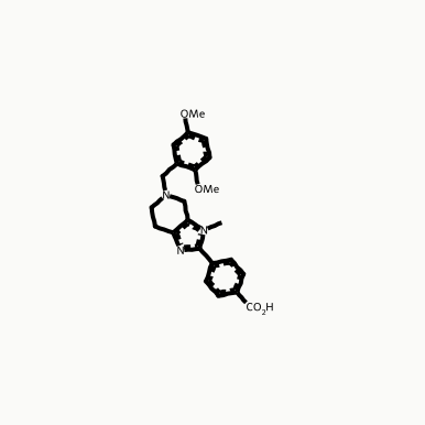 COc1ccc(OC)c(CN2CCc3nc(-c4ccc(C(=O)O)cc4)n(C)c3C2)c1